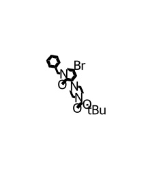 CC(C)(C)OC(=O)N1CCN(c2cc(Br)cn(Cc3ccccc3)c2=O)CC1